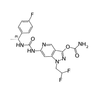 C[C@@H](NC(=O)Nc1cc2c(cn1)c(OC(N)=O)nn2CC(F)F)c1ccc(F)cc1